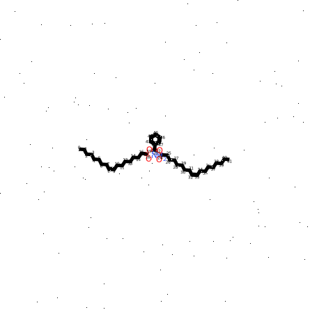 CCCCCCCC/C=C\CCCCCCCC(=O)OC(N)(OC(=O)CCCCCCC/C=C\CCCCCCCC)c1ccccc1